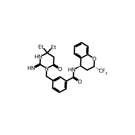 CCC1(CC)CC(=O)N(Cc2cccc(C(=O)N[C@@H]3C[C@@H](C(F)(F)F)Oc4ccccc43)c2)C(=N)N1